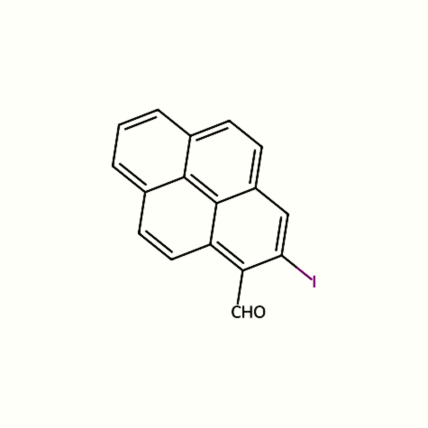 O=Cc1c(I)cc2ccc3cccc4ccc1c2c34